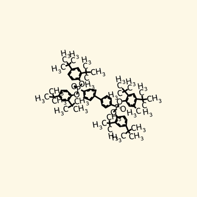 Cc1cc(OP(=O)(Oc2ccc(C(C)(C)C)cc2C(C)(C)C)c2ccc(-c3ccc(P(=O)(Oc4ccc(C(C)(C)C)cc4C(C)(C)C)Oc4ccc(C(C)(C)C)cc4C(C)(C)C)cc3)cc2)c(C(C)(C)C)cc1C(C)(C)C